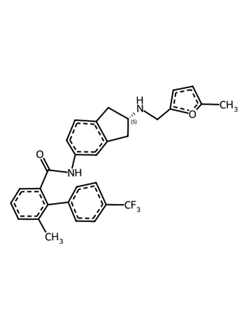 Cc1ccc(CN[C@H]2Cc3ccc(NC(=O)c4cccc(C)c4-c4ccc(C(F)(F)F)cc4)cc3C2)o1